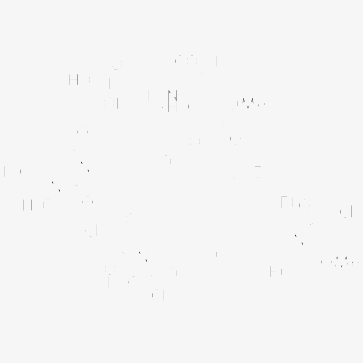 CC1(C)OC(c2ccco2)CN1C(=O)C(Cl)Cl.CCc1ccc(COc2ccc(-n3c(=O)cc(C(F)(F)F)n(C)c3=O)cc2)c(OC(C)C(=O)OC)c1.CCc1cccc(CC)c1N(COC)C(=O)CCl.CP(=O)(O)CCC(N)C(=O)O